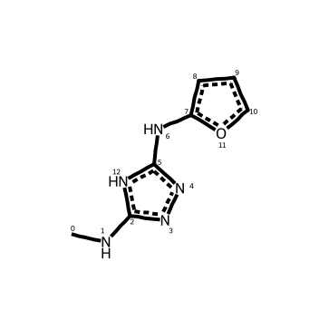 CNc1nnc(Nc2ccco2)[nH]1